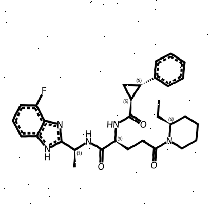 CC[C@H]1CCCCN1C(=O)CC[C@H](NC(=O)[C@H]1C[C@@H]1c1ccccc1)C(=O)N[C@@H](C)c1nc2c(F)cccc2[nH]1